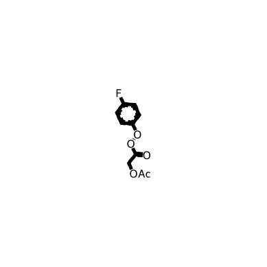 CC(=O)OCC(=O)OOc1ccc(F)cc1